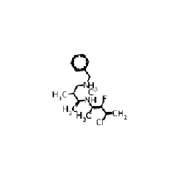 C=C(Cl)/C(F)=C(\C)NC(=C)C(C)CN(C)Cc1ccccc1